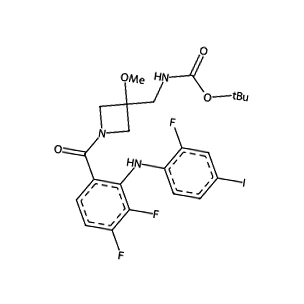 COC1(CNC(=O)OC(C)(C)C)CN(C(=O)c2ccc(F)c(F)c2Nc2ccc(I)cc2F)C1